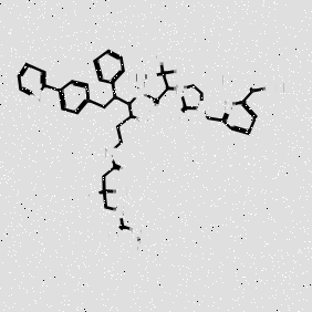 COC(=O)NCC(C)(C)CC(=O)NCCC(O)C(NC(=O)C(N1CCN(Cc2cccc(C(C)C)n2)C1=O)C(C)(C)C)C(Cc1ccc(-c2ccccn2)cc1)c1ccccc1